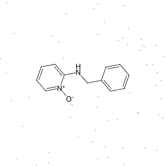 [O-][n+]1ccccc1NCc1ccccc1